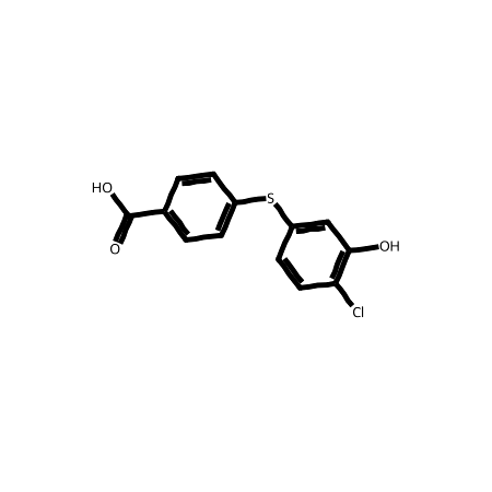 O=C(O)c1ccc(Sc2ccc(Cl)c(O)c2)cc1